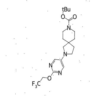 CC(C)(C)OC(=O)N1CCC2(CC1)CCN(c1cnc(OCC(F)(F)F)nc1)C2